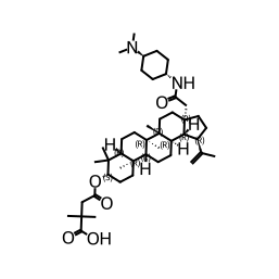 C=C(C)[C@@H]1CC[C@]2(CC(=O)N[C@H]3CC[C@H](N(C)C)CC3)CC[C@]3(C)[C@H](CC[C@@H]4[C@@]5(C)CC[C@H](OC(=O)CC(C)(C)C(=O)O)C(C)(C)[C@@H]5CC[C@]43C)[C@@H]12